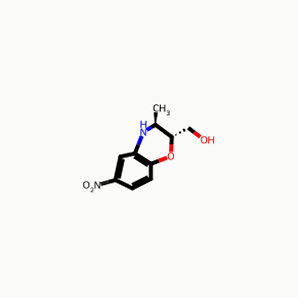 C[C@@H]1Nc2cc([N+](=O)[O-])ccc2O[C@H]1CO